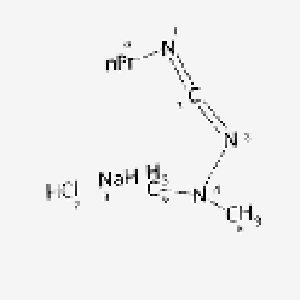 CCCN=C=NN(C)C.Cl.[NaH]